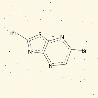 CC(C)c1nc2ncc(Br)nc2s1